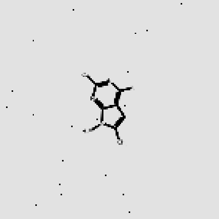 Cc1cc2c(Cl)nc(Cl)nc2n1P